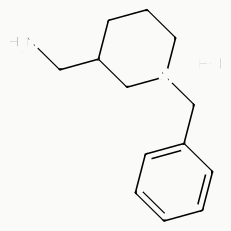 Cl.NCC1CCCN(Cc2ccccc2)C1